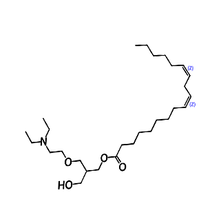 CCCCC/C=C\C/C=C\CCCCCCCC(=O)OCC(CO)COCCN(CC)CC